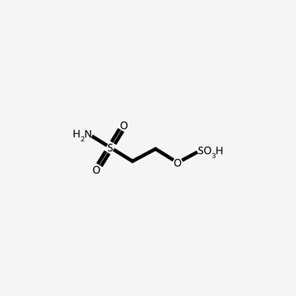 NS(=O)(=O)CCOS(=O)(=O)O